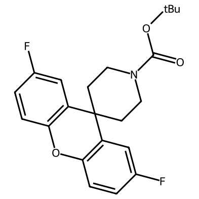 CC(C)(C)OC(=O)N1CCC2(CC1)c1cc(F)ccc1Oc1ccc(F)cc12